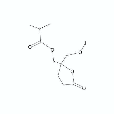 CC(C)C(=O)OCC1(COI)CCC(=O)O1